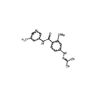 COc1cc(NN=C(C#N)C#N)ccc1C(=O)Nc1cncc(C)c1